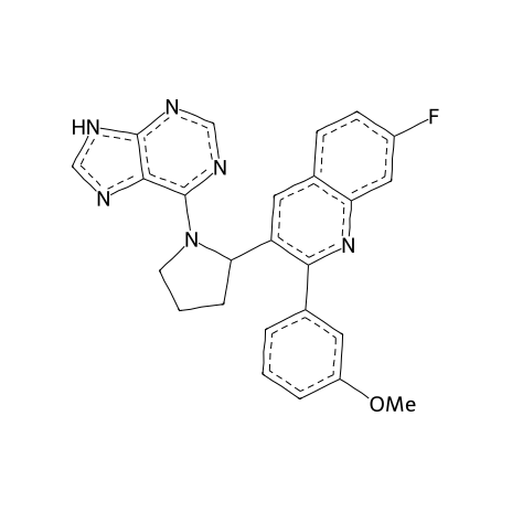 COc1cccc(-c2nc3cc(F)ccc3cc2C2CCCN2c2ncnc3[nH]cnc23)c1